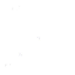 CN1CCN(c2cccc3c2C[C@H]([AsH2])CC3)CC1